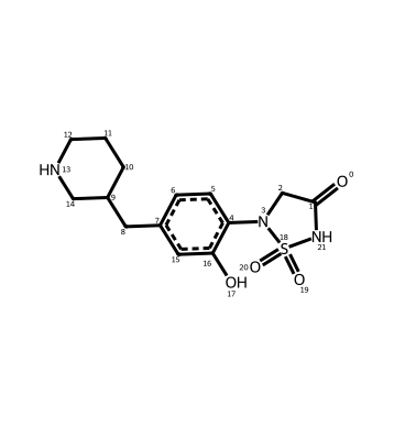 O=C1CN(c2ccc(CC3CCCNC3)cc2O)S(=O)(=O)N1